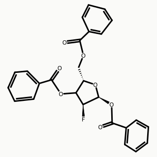 O=C(OC[C@@H]1O[C@@H](OC(=O)c2ccccc2)[C@@H](F)C1OC(=O)c1ccccc1)c1ccccc1